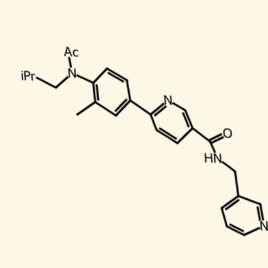 CC(=O)N(CC(C)C)c1ccc(-c2ccc(C(=O)NCc3cccnc3)cn2)cc1C